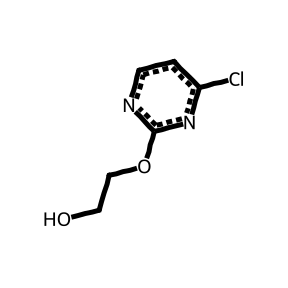 OCCOc1nccc(Cl)n1